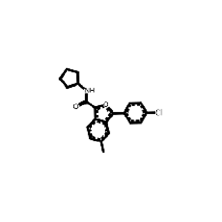 Cc1ccc2c(C(=O)NC3CCCC3)oc(-c3ccc(Cl)cc3)c2c1